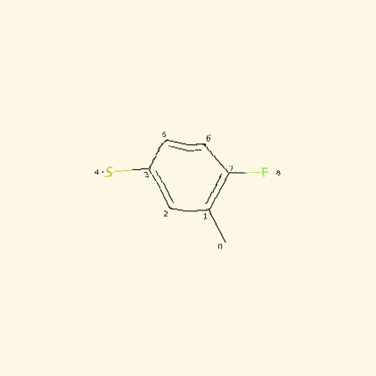 Cc1cc([S])ccc1F